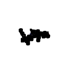 C=C1C[C@@H](C[C@H]2C[C@H](O[Si](C)(C)C(C)(C)C)C[C@@H](C[C@@H](CCO[Si](c3ccccc3)(c3ccccc3)C(C)(C)C)OCc3ccc(OC)cc3)O2)O[C@@H](/C=C/C(C)(C)[C@]2(OC)O[C@H](C[C@@H](O[Si](C)(C)C(C)(C)C)[C@@H](C)OCOCc3ccccc3)CC(=CC(=O)OC)C2=O)C1